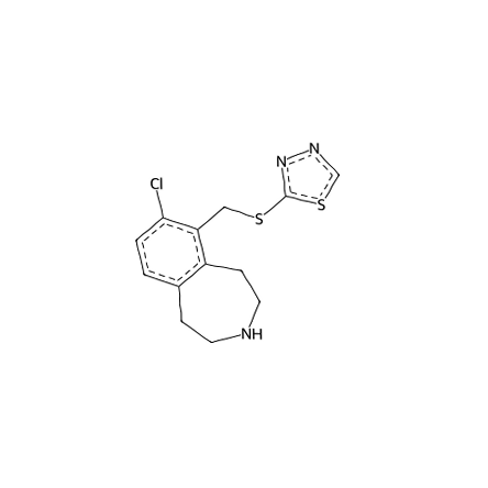 Clc1ccc2c(c1CSc1nncs1)CCNCC2